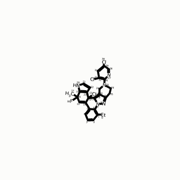 CCc1cccc2c1-n1nc3c(c1C1(C)C2=CC(C)(F)c2[nH]ccc21)CN(c1ncc(Cl)cc1Cl)CC3